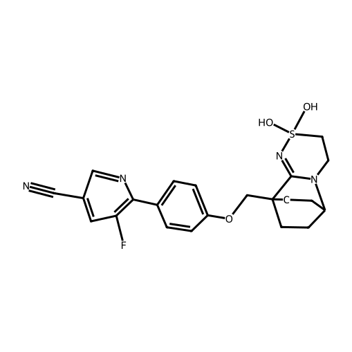 N#Cc1cnc(-c2ccc(OCC34CCC(CC3)N3CCS(O)(O)N=C34)cc2)c(F)c1